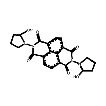 O=C1c2ccc3c4c(ccc(c24)C(=O)N1N1CCCC1O)C(=O)N(N1CCCC1O)C3=O